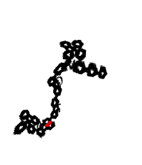 c1ccc(-c2ccc(-c3ccc(N(c4ccc(-c5cccc6c5oc5ccc(-c7ccc8c(c7)sc7ccc(-c9ccc(N(c%10ccc%11c(c%10)C(c%10ccccc%10)(c%10ccccc%10)c%10ccccc%10-%11)c%10ccccc%10-c%10ccccc%10)cc9)cc78)cc56)cc4)c4ccc5c(c4)C(c4ccccc4)(c4ccccc4)c4ccccc4-5)cc3)cc2)cc1